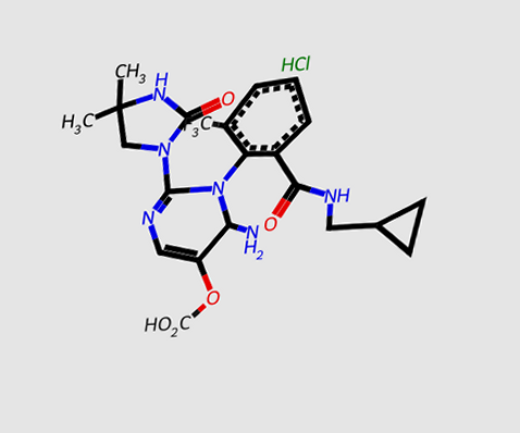 CC1(C)CN(C2=NC=C(OC(=O)O)C(N)N2c2c(C(=O)NCC3CC3)cccc2C(F)(F)F)C(=O)N1.Cl